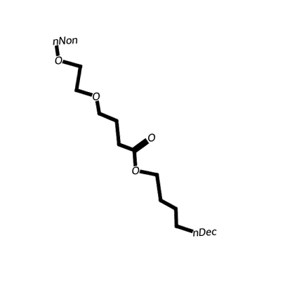 CCCCCCCCCCCCCCOC(=O)CCCOCCOCCCCCCCCC